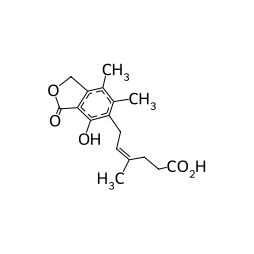 CC(=CCc1c(C)c(C)c2c(c1O)C(=O)OC2)CCC(=O)O